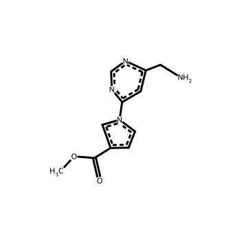 COC(=O)c1ccn(-c2cc(CN)ncn2)c1